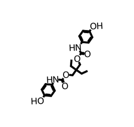 CCC(CC)(COC(=O)Nc1ccc(O)cc1)COC(=O)Nc1ccc(O)cc1